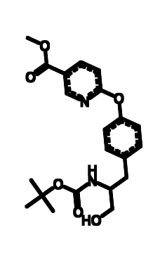 COC(=O)c1ccc(Oc2ccc(CC(CO)NC(=O)OC(C)(C)C)cc2)nc1